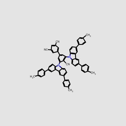 Cc1ccc(-c2ccc3c(c2)c2cc(-c4ccc(C)cc4)ccc2n3-c2cc(-c3cc(C#N)cc(C#N)c3)cc(-n3c4ccc(-c5ccc(C)cc5)cc4c4cc(-c5ccc(C)cc5)ccc43)c2C#N)cc1